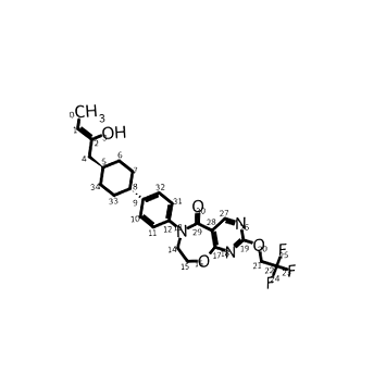 CC=C(O)C[C@H]1CC[C@H](c2ccc(N3CCOc4nc(OCC(F)(F)F)ncc4C3=O)cc2)CC1